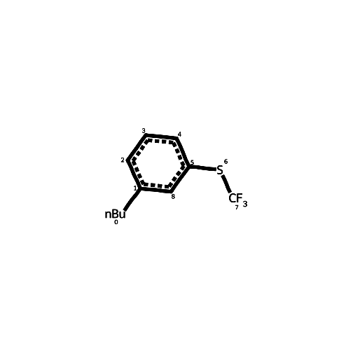 [CH2]CCCc1cccc(SC(F)(F)F)c1